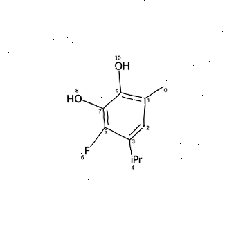 Cc1cc(C(C)C)c(F)c(O)c1O